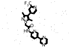 Cc1nn(CC(=O)Nc2ccc(-c3cnccn3)cn2)c(C)c1-c1ccnc(C(F)(F)F)c1